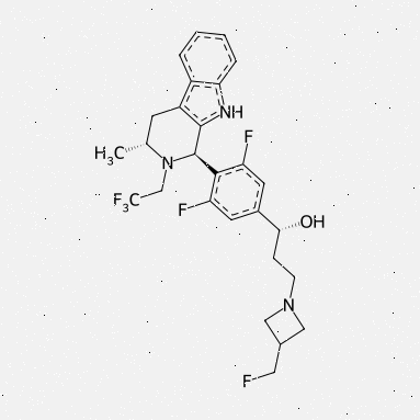 C[C@@H]1Cc2c([nH]c3ccccc23)[C@@H](c2c(F)cc([C@H](O)CCN3CC(CF)C3)cc2F)N1CC(F)(F)F